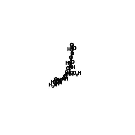 Nc1nc2ncc(CNc3ccc(C(=O)NC(CCC(=O)NCCNC(=O)CCOCCOCCNC(=O)c4ccccc4)C(=O)O)cc3)nc2c(=O)[nH]1